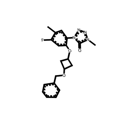 Cc1cc(-n2nnn(C)c2=O)c(OC2CC(OCc3ccccc3)C2)cc1F